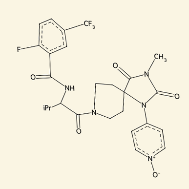 CC(C)C(NC(=O)c1cc(C(F)(F)F)ccc1F)C(=O)N1CCC2(CC1)C(=O)N(C)C(=O)N2c1cc[n+]([O-])cc1